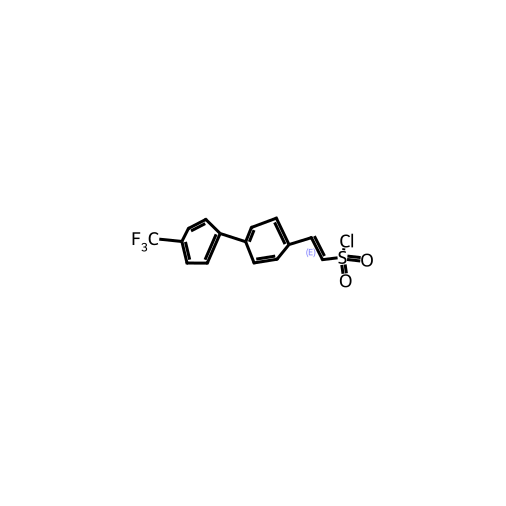 O=S(=O)(Cl)/C=C/c1ccc(-c2ccc(C(F)(F)F)cc2)cc1